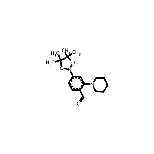 CC1(C)OB(c2ccc(C=O)c(N3CCCCC3)c2)OC1(C)C